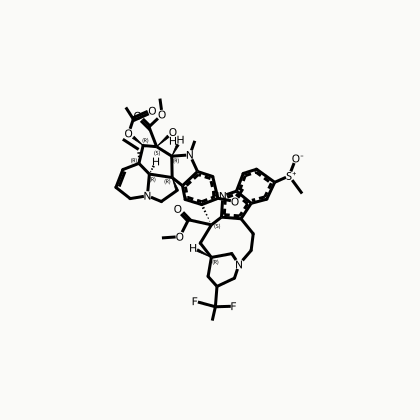 CC[C@]12C=CCN3CC[C@@]4(c5cc([C@@]6(C(=O)OC)C[C@H]7CC(C(C)(F)F)CN(CCc8c6[nH]c6ccc([S+](C)[O-])cc86)C7)c(OC)cc5N(C)[C@H]4[C@@](O)(C(=O)OC)[C@@H]1OC(C)=O)[C@@H]32